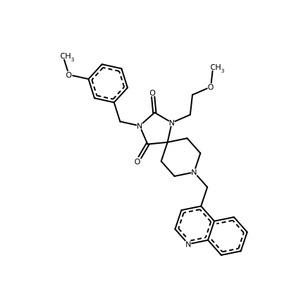 COCCN1C(=O)N(Cc2cccc(OC)c2)C(=O)C12CCN(Cc1ccnc3ccccc13)CC2